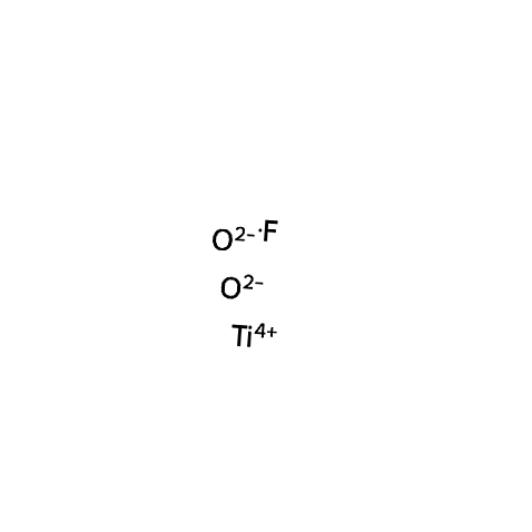 [F].[O-2].[O-2].[Ti+4]